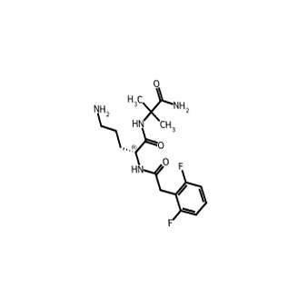 CC(C)(NC(=O)[C@@H](CCCN)NC(=O)Cc1c(F)cccc1F)C(N)=O